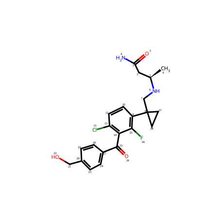 C[C@H](CC(N)=O)NCC1(c2ccc(Cl)c(C(=O)c3ccc(CO)cc3)c2F)CC1